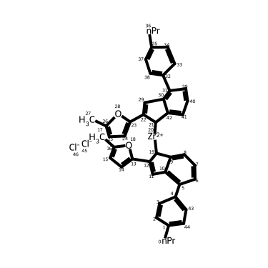 CCCc1ccc(-c2cccc3c2C=C(c2ccc(C)o2)[CH]3[Zr+2][CH]2C(c3ccc(C)o3)=Cc3c(-c4ccc(CCC)cc4)cccc32)cc1.[Cl-].[Cl-]